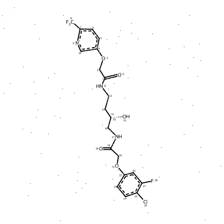 O=C(COc1ccc(C(F)(F)F)nc1)NCC[C@H](O)CNC(=O)COc1ccc(Cl)c(F)c1